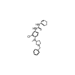 CN(c1ccc(NC(=S)NC2=CC[CH]C=C2)cc1Cl)C1CCN(Cc2ccccc2)C1